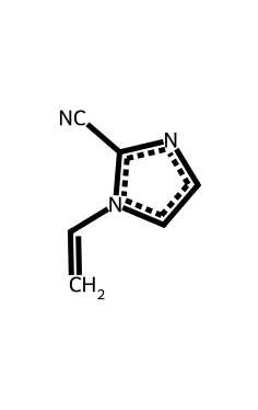 C=Cn1ccnc1C#N